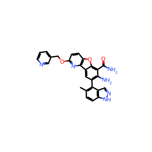 Cc1ccc2[nH]ncc2c1-c1cc2c(oc3ccc(OCc4cccnc4)nc32)c(C(N)=O)c1N